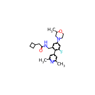 Cc1cc(-c2c(F)cc(N3CCOC(C)C3)cc2CNC(=O)CC2CCC2)cc(C)n1